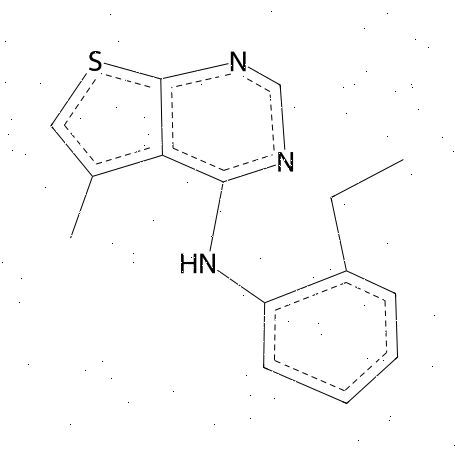 CCc1ccccc1Nc1ncnc2scc(C)c12